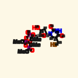 COP(=O)(OC)OP(=O)(OC)OP(=O)(OC)OC[C@H]1O[C@@H](n2cc(CS)c(=O)[nH]c2=O)CC1O